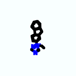 CC[N+]1(c2ccc3c(c2)Cc2ccccc2-3)C=NC=N1